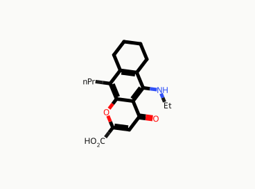 CCCc1c2c(c(NCC)c3c(=O)cc(C(=O)O)oc13)CCCC2